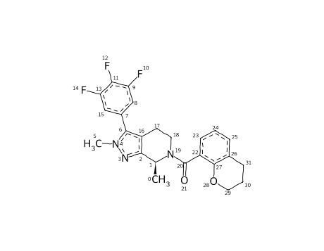 C[C@H]1c2nn(C)c(-c3cc(F)c(F)c(F)c3)c2CCN1C(=O)c1cccc2c1OCCC2